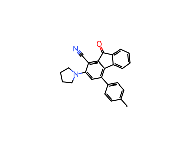 Cc1ccc(-c2cc(N3CCCC3)c(C#N)c3c2-c2ccccc2C3=O)cc1